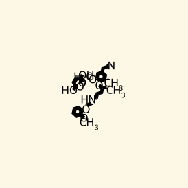 COc1ccccc1OCCNCCCC(Oc1ccc(CC#N)cc1OC)C(C)C.O=C(O)/C=C\C(=O)O